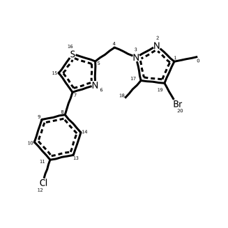 Cc1nn(Cc2nc(-c3ccc(Cl)cc3)cs2)c(C)c1Br